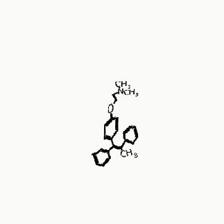 C/C(=C(\c1ccccc1)c1ccc(OCCN(C)C)cc1)c1ccccc1